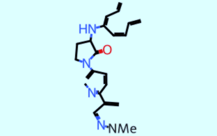 C=C/C=C\C(=C/C=C)NC1CCN(C(=C)/C=C\C(=N/C)C(=C)/C=N\NC)C1=O